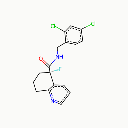 O=C(NCc1ccc(Cl)cc1Cl)[C@]1(F)CCCc2ncccc21